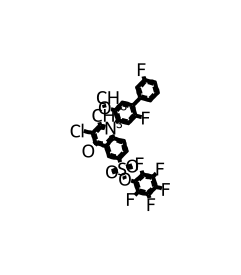 COc1cc(-c2cccc(F)c2)c(F)cc1-n1c(C)c(Cl)c(=O)c2cc(S(=O)(=O)Oc3c(F)c(F)c(F)c(F)c3F)ccc21